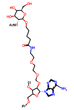 CCO[C@@H]1C(COC(C)C)O[C@@H](n2cnc3c(N)ncnc32)[C@@H]1OCOCCOCCNC(=O)CCCCO[C@@H]1O[C@H](CO)[C@H](O)[C@H](O)[C@H]1NC(C)=O